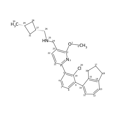 COc1nc(-c2cccc(-c3cccc4c3CCC4)c2Cl)ccc1CNC[C@H]1C[C@@H](C)C1